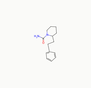 NC(=O)N1CCCCC1CCc1ccccc1